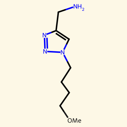 COCCCCn1cc(CN)nn1